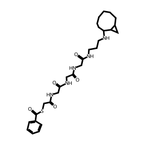 O=C(CNC(=O)CNC(=O)CNC(=O)CSC(=O)c1ccccc1)NCCCNC1CCCCCCC2CC21